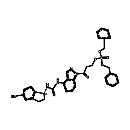 CC(C)(C)c1ccc2c(c1)CC[C@H]2NC(=O)Nc1cccc2c1cnn2C(=O)CCOP(=O)(OCc1ccccc1)OCc1ccccc1